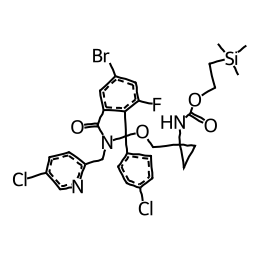 C[Si](C)(C)CCOC(=O)NC1(COC2(c3ccc(Cl)cc3)c3c(F)cc(Br)cc3C(=O)N2Cc2ccc(Cl)cn2)CC1